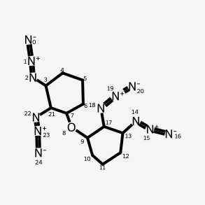 [N-]=[N+]=NC1CCCC(OC2CCCC(N=[N+]=[N-])C2N=[N+]=[N-])C1N=[N+]=[N-]